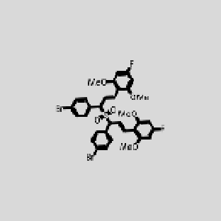 COc1cc(F)cc(OC)c1C=CC(c1ccc(Br)cc1)S(=O)(=O)C(C=Cc1c(OC)cc(F)cc1OC)c1ccc(Br)cc1